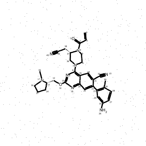 C=CC(=O)N1CCN(c2nc(OC[C@@H]3CCCN3C)nc3cc(-c4cc(N)ccc4C)c(C#N)cc23)C[C@@H]1CC#N